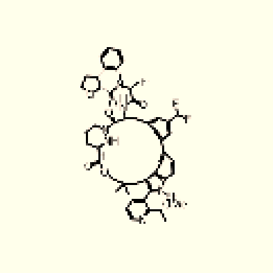 CCn1c(-c2cccnc2[C@H](C)OC)c2c3cc(ccc31)-c1cc(cc(C(F)F)c1)C[C@H](NC(=O)[C@H](C(C)C)N(C)C(=O)[C@@H]1OCC[C@@H]1c1ccccc1)C(=O)N1CCC[C@H](N1)C(=O)OCC(C)(C)C2